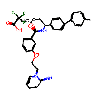 Cc1ccc(-c2ccc(C(CC(=O)O)NC(=O)c3cccc(OCCn4ccccc4=N)c3)cc2)cc1.O=C(O)C(F)(F)F